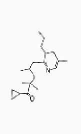 CCCC1CC(C)=CN=C1CC(C)CC(C)(C)C(=O)C1CC1